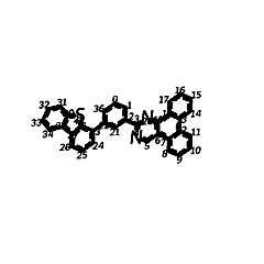 c1cc(-c2ncc3c4ccccc4c4ccccc4c3n2)cc(-c2cccc3c2sc2ccccc23)c1